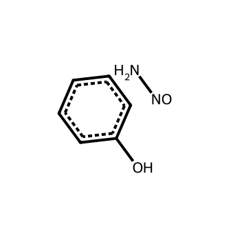 NN=O.Oc1ccccc1